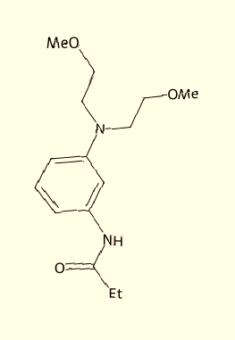 CCC(=O)Nc1cccc(N(CCOC)CCOC)c1